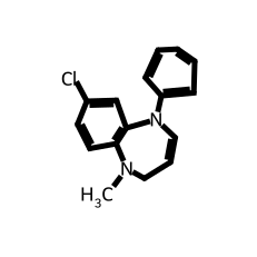 CN1CC=CN(c2ccccc2)c2cc(Cl)ccc21